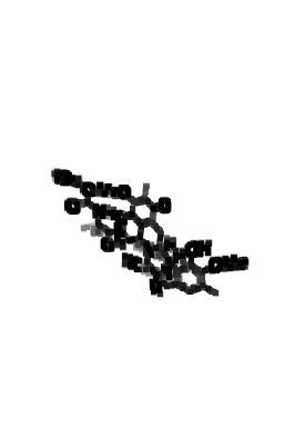 COC1=C(C)C(=O)C2=C(C1=O)[C@H](CNC(=O)[C@H](C)NC(=O)OC(C)(C)C)N1[C@@H](C#N)[C@H]3Cc4cc(C)c(OC)c(O)c4[C@H]([C@@H]1C2)N3C